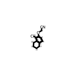 N#CCOc1ccc2c(c1Cl)CCCC2